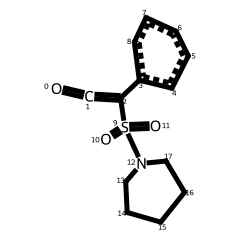 O=C=C(c1ccccc1)S(=O)(=O)N1CCCCC1